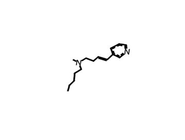 CCCCCN(C)CC/C=C/c1cccnc1